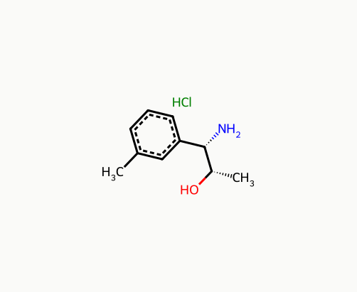 Cc1cccc([C@H](N)[C@H](C)O)c1.Cl